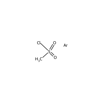 CS(=O)(=O)Cl.[Ar]